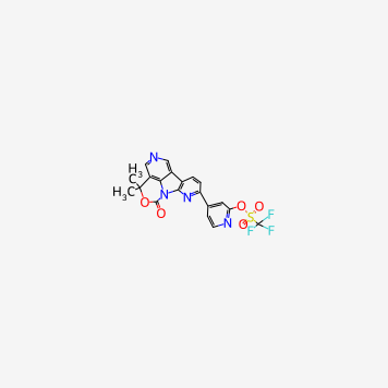 CC1(C)OC(=O)n2c3nc(-c4ccnc(OS(=O)(=O)C(F)(F)F)c4)ccc3c3cncc1c32